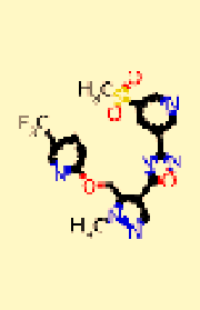 Cn1ncc(-c2nc(-c3cncc(S(C)(=O)=O)c3)no2)c1COc1ccc(C(F)(F)F)cn1